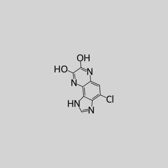 Oc1nc2cc(Cl)c3nc[nH]c3c2nc1O